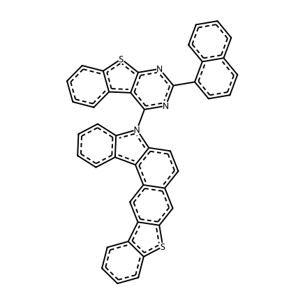 c1ccc2c(-c3nc(-n4c5ccccc5c5c6cc7c(cc6ccc54)sc4ccccc47)c4c(n3)sc3ccccc34)cccc2c1